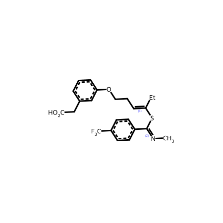 CC/C(=C\CCOc1cccc(CC(=O)O)c1)S/C(=N\C)c1ccc(C(F)(F)F)cc1